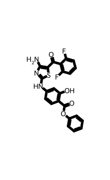 Nc1nc(Nc2ccc(C(=O)Oc3ccccc3)c(O)c2)sc1C(=O)c1c(F)cccc1F